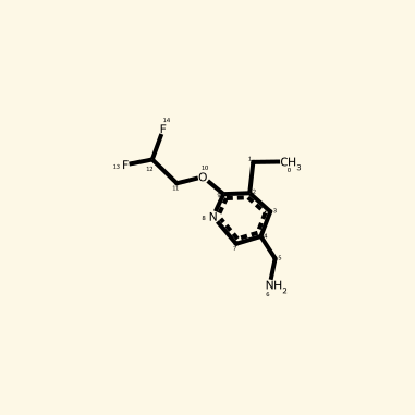 CCc1cc(CN)cnc1OCC(F)F